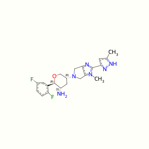 Cc1cc(-c2nc3c(n2C)CN([C@H]2CO[C@H](c4cc(F)ccc4F)[C@@H](N)C2)C3)n[nH]1